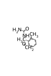 C=O.Cc1ccccc1C.NC(N)=O